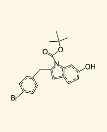 CC(C)(C)OC(=O)n1c(Cc2ccc(Br)cc2)cc2ccc(O)cc21